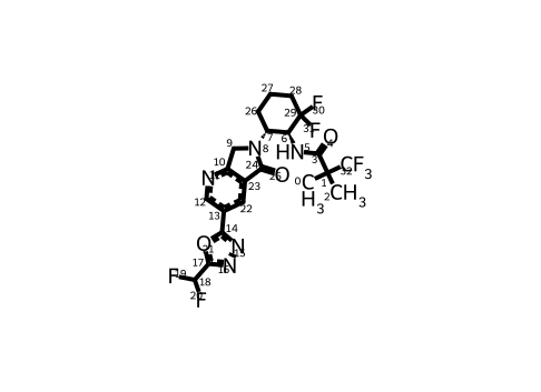 CC(C)(C(=O)N[C@H]1[C@H](N2Cc3ncc(-c4nnc(C(F)F)o4)cc3C2=O)CCCC1(F)F)C(F)(F)F